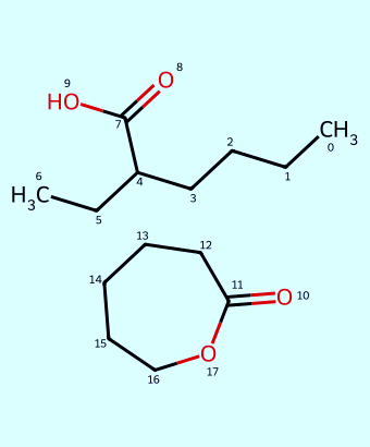 CCCCC(CC)C(=O)O.O=C1CCCCCO1